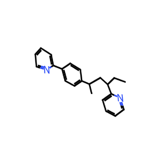 CCC(CC(C)c1ccc(-c2ccccn2)cc1)c1ccccn1